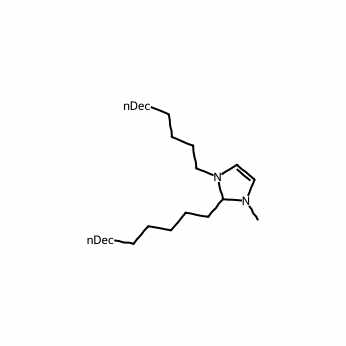 CCCCCCCCCCCCCCCC1N(C)C=CN1CCCCCCCCCCCCCC